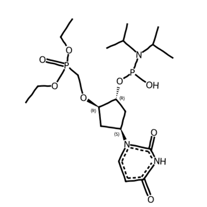 CCOP(=O)(CO[C@@H]1C[C@H](n2ccc(=O)[nH]c2=O)C[C@H]1OP(O)N(C(C)C)C(C)C)OCC